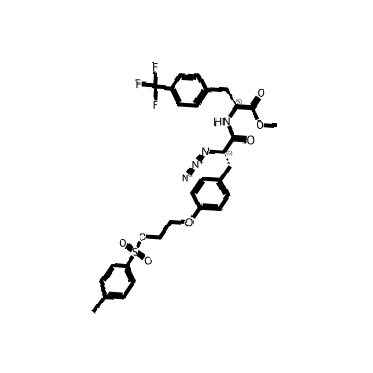 COC(=O)[C@H](Cc1ccc(C(F)(F)F)cc1)NC(=O)[C@H](Cc1ccc(OCCOS(=O)(=O)c2ccc(C)cc2)cc1)N=[N+]=[N-]